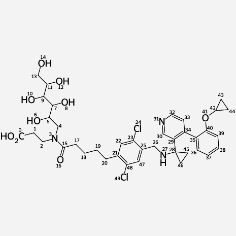 O=C(O)CCN(CC(O)C(O)C(O)C(O)CO)C(=O)CCCCc1cc(Cl)c(CNC2(c3cnccc3-c3ccccc3OC3CC3)CC2)cc1Cl